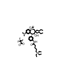 CCCCC1(CCCC)CS(=O)(=O)c2ccc(N(C)C)cc2[C@@H](c2cccc(NC(=O)CCCC[N+](CC)(CC)CC)c2)[C@H]1O.O=C([O-])C(F)(F)F